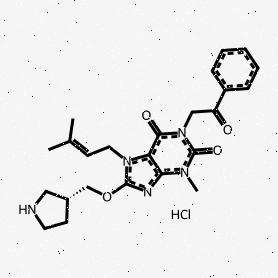 CC(C)=CCn1c(OC[C@@H]2CCNC2)nc2c1c(=O)n(CC(=O)c1ccccc1)c(=O)n2C.Cl